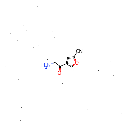 N#Cc1cc(C(=O)CN)co1